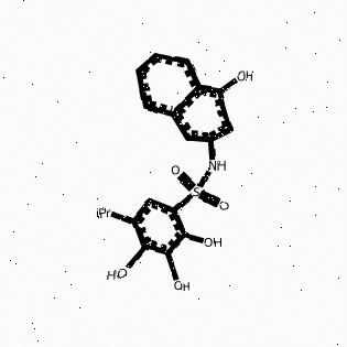 CC(C)c1cc(S(=O)(=O)Nc2cc(O)c3ccccc3c2)c(O)c(O)c1O